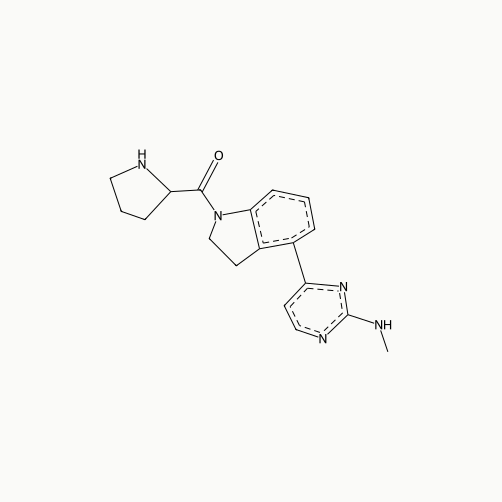 CNc1nccc(-c2cccc3c2CCN3C(=O)C2CCCN2)n1